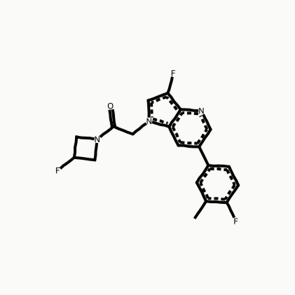 Cc1cc(-c2cnc3c(F)cn(CC(=O)N4CC(F)C4)c3c2)ccc1F